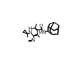 C=N/C(NC1(C)CC1)=C(\C)C(C(=O)NC1C2CC3CC(C2)CC1C3)=C(C)C